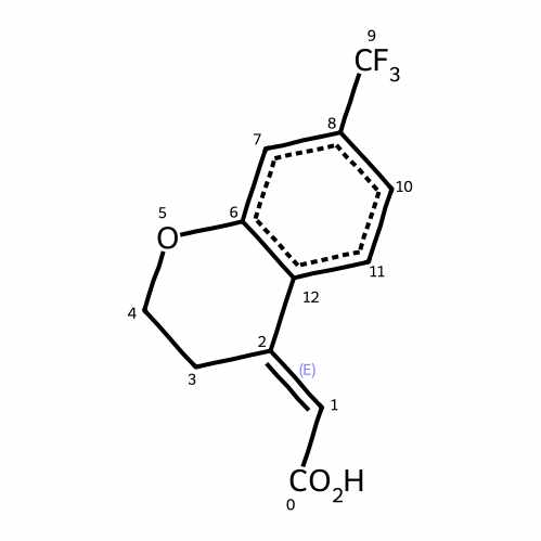 O=C(O)/C=C1\CCOc2cc(C(F)(F)F)ccc21